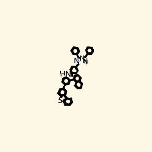 C[N@]1C(c2ccccc2)N1/C(=N\CC1=CCC(C)(Nc2ccc(-c3ccc4sc5ccccc5c4c3)cc2-c2cccc3ccccc23)C=C1)c1ccccc1